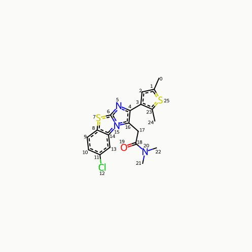 Cc1cc(-c2nc3sc4ccc(Cl)cc4n3c2CC(=O)N(C)C)c(C)s1